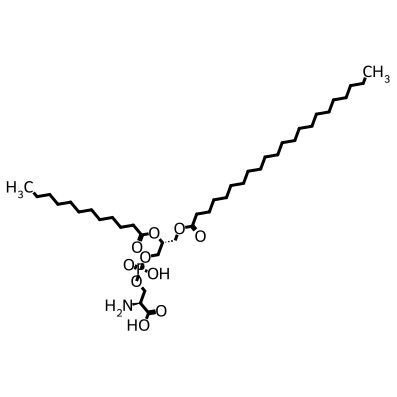 CCCCCCCCCCCCCCCCCCCCCC(=O)OC[C@H](COP(=O)(O)OC[C@H](N)C(=O)O)OC(=O)CCCCCCCCCCC